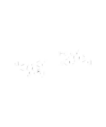 O=C(O)c1c(-c2ccc(OCCCCOc3ccc(-c4oc5cc(Cl)ccc5c(=O)c4C(=O)O)c(F)c3)cc2F)oc2cc(Cl)ccc2c1=O